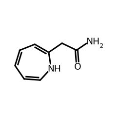 NC(=O)CC1=CC=CC=CN1